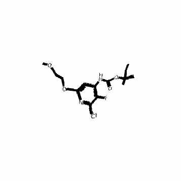 COCCOc1cc(NC(=O)OC(C)(C)C)c(F)c(Cl)n1